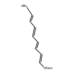 [CH2]CCCC/C=C/C=C/C=C/C=C/CCCC